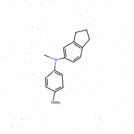 COc1ccc(N(C)c2ccc3c(c2)CCC3)cc1